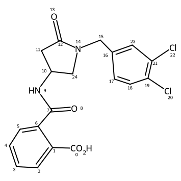 O=C(O)c1ccccc1C(=O)NC1CC(=O)N(Cc2ccc(Cl)c(Cl)c2)C1